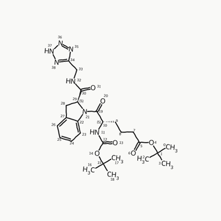 CC(C)(C)OC(=O)CCC[C@H](NC(=O)OC(C)(C)C)C(=O)N1c2ccccc2C[C@H]1C(=O)NCc1nn[nH]n1